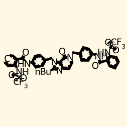 CCCCc1nc2ccn(Cc3ccc(NC(=O)c4ccccc4NS(=O)(=O)C(F)(F)F)cc3)c(=O)c2n1Cc1ccc(NC(=O)c2ccccc2NS(=O)(=O)C(F)(F)F)cc1